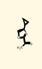 CC(=O)c1nc(C2CC2)co1